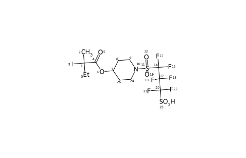 CCC(C)(I)C(=O)OC1CCN(S(=O)(=O)C(F)(F)C(F)(F)C(F)(F)S(=O)(=O)O)CC1